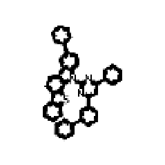 c1ccc(-c2cccc(-c3cc(-c4ccccc4)nc(-n4c5ccc(-c6ccccc6)cc5c5ccc6c7ccccc7sc6c54)n3)c2)cc1